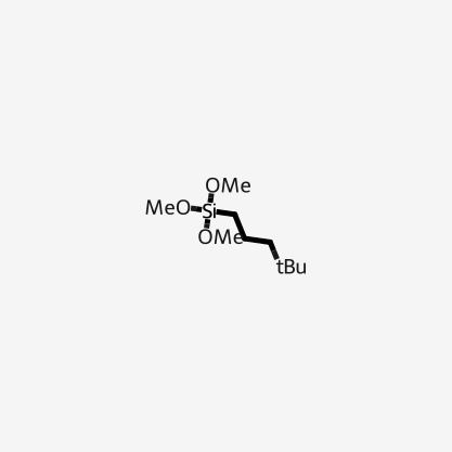 CO[Si](CCCC(C)(C)C)(OC)OC